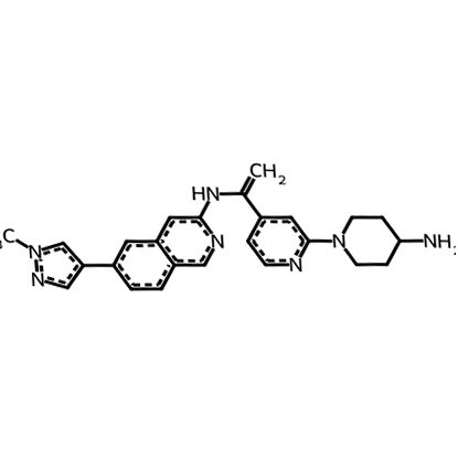 C=C(Nc1cc2cc(-c3cnn(C)c3)ccc2cn1)c1ccnc(N2CCC(N)CC2)c1